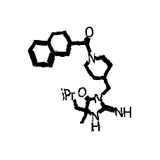 CC(C)CC1(C)NC(=N)N(CC2CCN(C(=O)C3CCc4ccccc4C3)CC2)C1=O